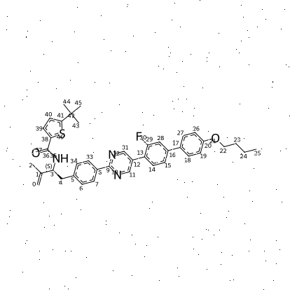 C=C(C)[C@H](Cc1ccc(-c2ncc(-c3ccc(-c4ccc(OCCCC)cc4)cc3F)cn2)cc1)NC(=O)c1ccc(C(C)(C)C)s1